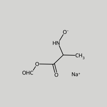 CC(N[O-])C(=O)OC=O.[Na+]